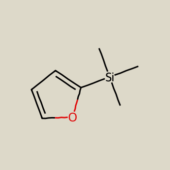 C[Si](C)(C)c1ccco1